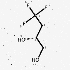 OC[C@H](O)CC(F)(F)F